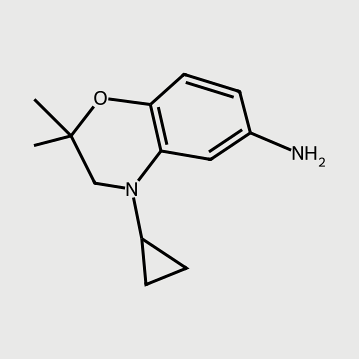 CC1(C)CN(C2CC2)c2cc(N)ccc2O1